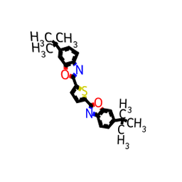 CC(C)(C)c1ccc2nc(-c3ccc(-c4nc5ccc(C(C)(C)C)cc5o4)s3)oc2c1